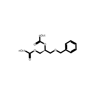 CCCCCCCCC(=O)OC[C@H](COCc1ccccc1)OC(=O)CCCCCCCC